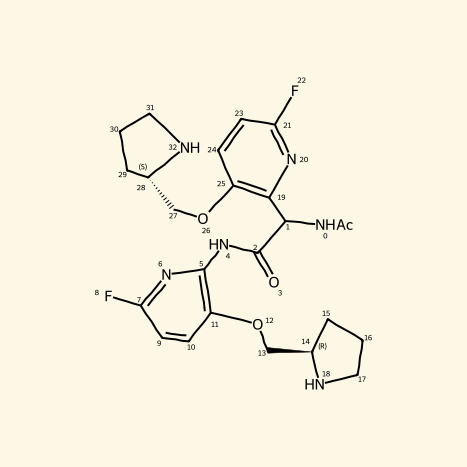 CC(=O)NC(C(=O)Nc1nc(F)ccc1OC[C@H]1CCCN1)c1nc(F)ccc1OC[C@@H]1CCCN1